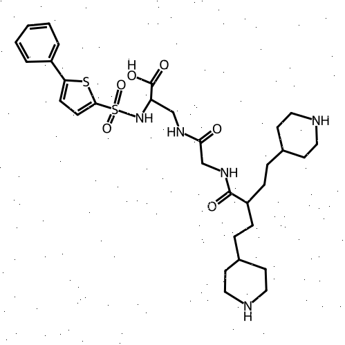 O=C(CNC(=O)C(CCC1CCNCC1)CCC1CCNCC1)NCC(NS(=O)(=O)c1ccc(-c2ccccc2)s1)C(=O)O